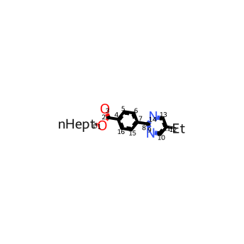 CCCCCCCOC(=O)c1ccc(-c2ncc(CC)cn2)cc1